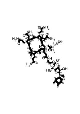 C/C1=C2/[N-][C@H]([C@H](CC(N)=O)[C@@]2(C)CCC(=O)NC[C@@H](C)OP(=O)([O-])O[C@H]2[C@@H](O)[C@@H](n3cnc4cc(C)c(C)cc43)O[C@@H]2CO)[C@]2(C)N=C(/C(C)=C3N=C(/C=C4N=C1[C@@H](CCC(N)=O)C\4(C)C)[C@@H](CCC(N)=O)[C@]\3(C)CC(N)=O)[C@@H](CCC(N)=O)[C@]2(C)CC(N)=O.O.[Co]